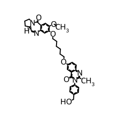 COc1cc2c(cc1OCCCCCCOc1ccc3nc(C)n(-c4ccc(CO)cc4)c(=O)c3c1)N=C[C@@H]1CCCN1C2=O